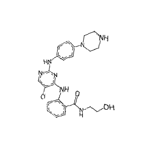 O=C(NCCO)c1ccccc1Nc1nc(Nc2ccc(N3CCNCC3)cc2)ncc1Cl